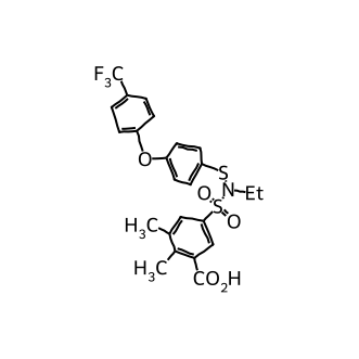 CCN(Sc1ccc(Oc2ccc(C(F)(F)F)cc2)cc1)S(=O)(=O)c1cc(C)c(C)c(C(=O)O)c1